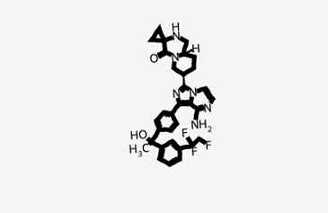 CC(O)(c1ccc(-c2nc([C@@H]3CC[C@H]4CNC5(CC5)C(=O)N4C3)n3ccnc(N)c23)cc1)c1cccc(C(F)(F)CF)c1